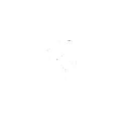 CC(C)CC(=O)NC(c1ccccc1)[C@H]1[C@H]2C[C@@H]3C[C@](Cl)(C2)C[C@@]1(O)C3